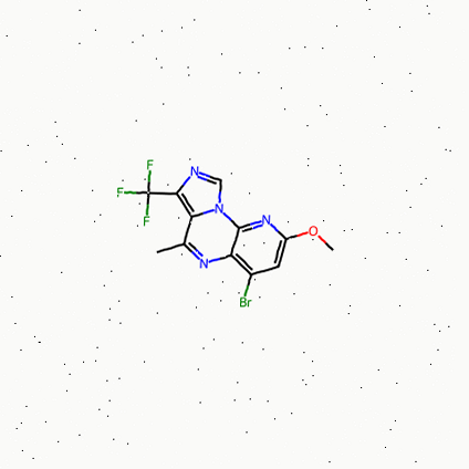 COc1cc(Br)c2nc(C)c3c(C(F)(F)F)ncn3c2n1